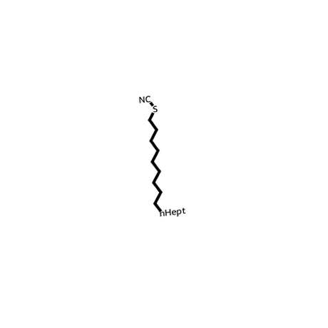 CCCCCCCCCCCCCCCCSC#N